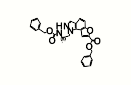 C[C@@H](Cn1ncc2ccc3oc(C(=O)OCc4ccccc4)cc3c21)NC(=O)OCc1ccccc1